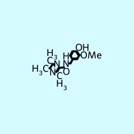 COc1cc(CNC(=O)c2nc(C)c(C)nc2C)ccc1O